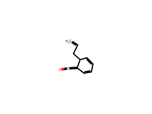 C=CCC1C=CC=[C]C1=C=O